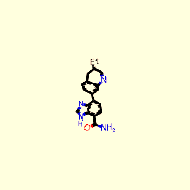 CCC1C=Nc2cc(-c3ccc(C(N)=O)c4[nH]cnc34)ccc2C1